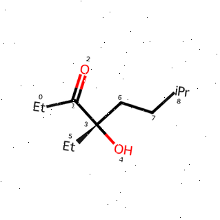 CCC(=O)[C@](O)(CC)CCC(C)C